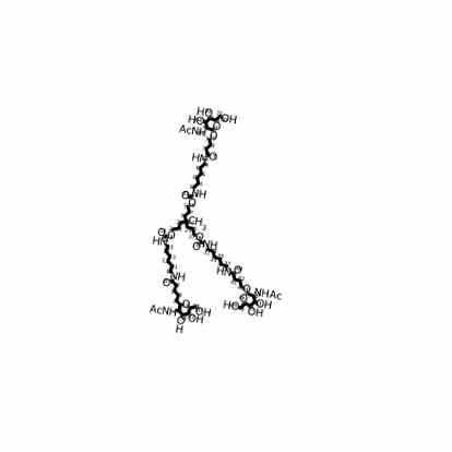 CC(=O)NC1C(CCCCC(=O)NCCCCCCNC(=O)OCCCC(C)(CCCOC(=O)NCCCCCCNC(=O)CCCOC2OC(CO)C(O)C(O)C2NC(C)=O)CCCOC(=O)NCCCCCCNC(=O)CCCOC2OC(CO)C(O)C(O)C2NC(C)=O)OC(CO)C(O)C1O